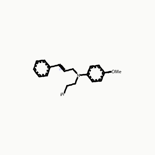 COc1ccc(N(C/C=C/c2ccccc2)CCC(C)C)cc1